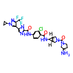 Cn1c(-c2cn(C3CC3)nc2C(F)(F)F)cnc1C(=O)Nc1ccc(C(=O)NC2[C@H]3CN(C(=O)N4CC[C@@H](N)C4)C[C@@H]23)c(Cl)c1